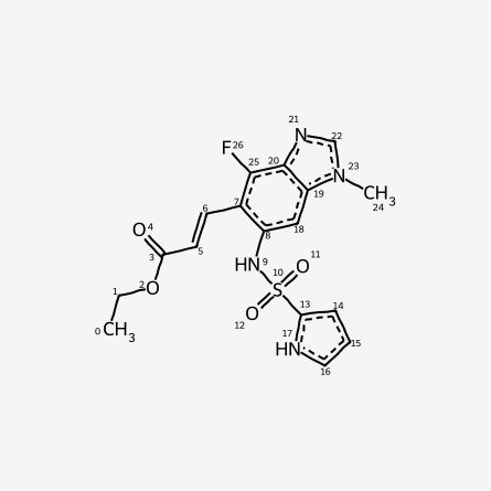 CCOC(=O)/C=C/c1c(NS(=O)(=O)c2ccc[nH]2)cc2c(ncn2C)c1F